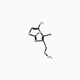 CSCc1nc2scc(C)n2c1Br